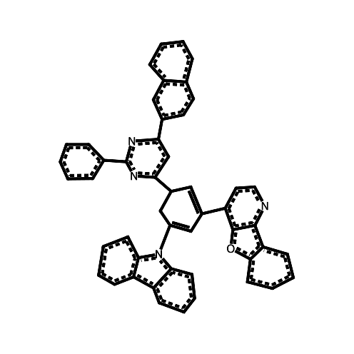 C1=C(c2ccnc3c2oc2ccccc23)C=C(n2c3ccccc3c3ccccc32)CC1c1cc(-c2ccc3ccccc3c2)nc(-c2ccccc2)n1